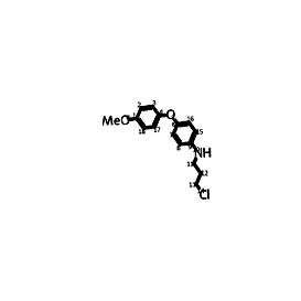 COc1ccc(Oc2ccc(NCCCCl)cc2)cc1